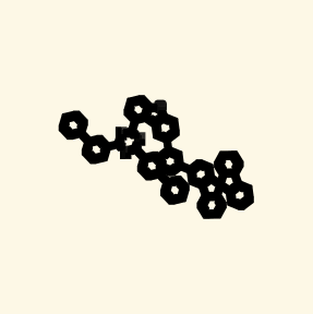 c1ccc(-c2ccc(-c3nc(-c4cccc(-c5ccccc5)c4)nc(-c4cccc5oc6ccc(-c7cccc(-c8ccc9c(c8)-c8ccccc8C98c9ccccc9-c9ccccc98)c7)cc6c45)n3)cc2)cc1